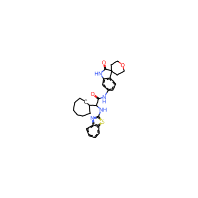 O=C(Nc1ccc2c(c1)NC(=O)C21CCOCC1)C(Nc1nc2ccccc2s1)C1CCCCCCC1